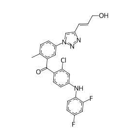 Cc1ccc(-n2cc(C=CCO)nn2)cc1C(=O)c1ccc(Nc2ccc(F)cc2F)cc1Cl